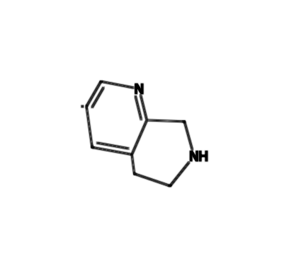 [c]1cnc2c(c1)CCNC2